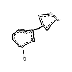 Clc1[c]ccc(-c2cn[nH]c2)c1